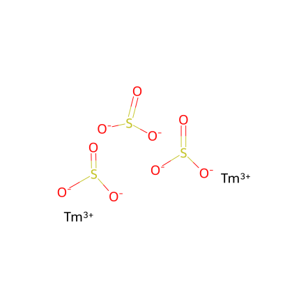 O=S([O-])[O-].O=S([O-])[O-].O=S([O-])[O-].[Tm+3].[Tm+3]